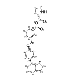 O=C(OC(=O)[C@@H]1CCCN1)c1cccc(COc2ccc(-c3cccc4c3CCC4)cc2)c1